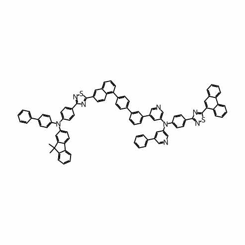 CC1(C)c2ccccc2-c2ccc(N(c3ccc(-c4ccccc4)cc3)c3ccc(-c4nsc(-c5ccc6c(-c7ccc(-c8cccc(-c9cncc(N(c%10ccc(-c%11nsc(-c%12cc%13ccccc%13c%13ccccc%12%13)n%11)cc%10)c%10cncc(-c%11ccccc%11)c%10)c9)c8)cc7)cccc6c5)n4)cc3)cc21